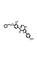 COc1cc(N2/C=C/CC(C)c3cc(-c4ccc(O)cc4)sc3C2=O)ccc1OCCN1CCCC1